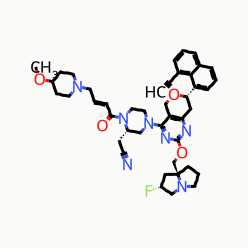 C#Cc1cccc2cccc([C@@H]3Cc4nc(OC[C@@]56CCCN5C[C@H](F)C6)nc(N5CCN(C(=O)/C=C/CN6CCC(OC)CC6)[C@@H](CC#N)C5)c4CO3)c12